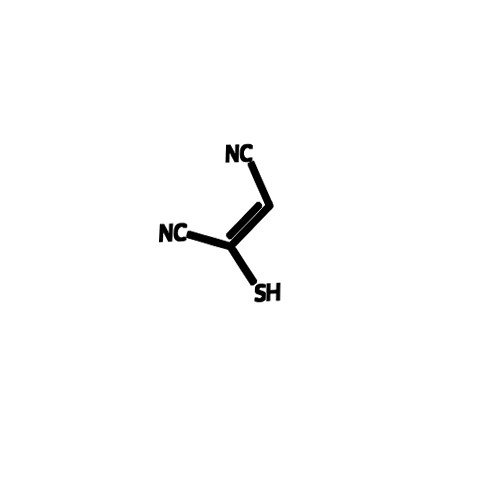 N#C/C=C(/S)C#N